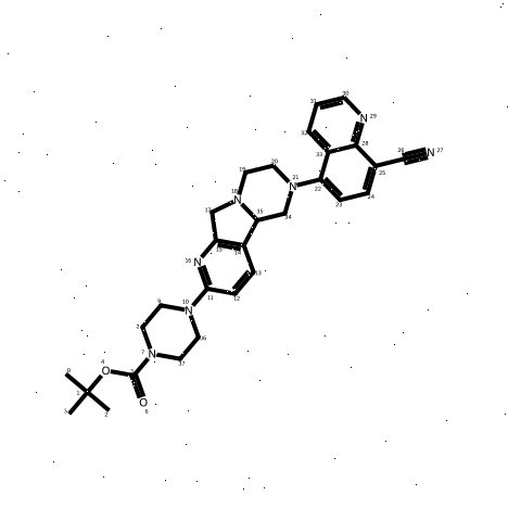 CC(C)(C)OC(=O)N1CCN(c2ccc3c(n2)CN2CCN(c4ccc(C#N)c5ncccc45)CC32)CC1